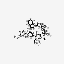 CC[C@H](C)[C@H](NC(=O)OC(C)(C)C)C(=O)N[C@@H](Cc1cn(C(=O)OC(C)(C)C)c2ccccc12)[C@@H](O)[C@@H](O)CC(C)C